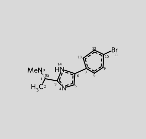 CN[C@@H](C)c1ncc(-c2ccc(Br)cc2)[nH]1